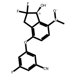 C[S+]([O-])c1ccc(Oc2cc(F)cc(C#N)c2)c2c1[C@H](O)C(F)(F)C2